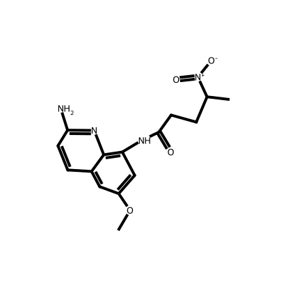 COc1cc(NC(=O)CCC(C)[N+](=O)[O-])c2nc(N)ccc2c1